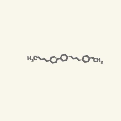 C=C[C@H]1CC[C@H](CCCC[C@H]2CC[C@H]([C@H]3CC[C@H](CCCCC)CC3)CC2)CC1